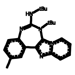 Cc1ccc2c(c1)-c1nc3ccccn3c1N(C(C)(C)C)C(NC(C)(C)C)=N2